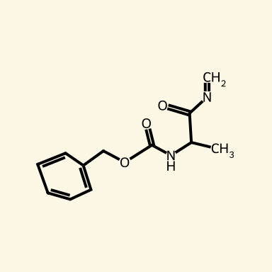 C=NC(=O)C(C)NC(=O)OCc1ccccc1